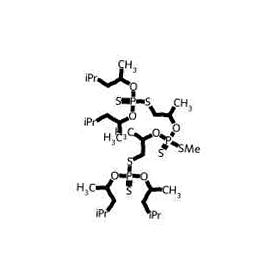 CSP(=S)(OC(C)CSP(=S)(OC(C)CC(C)C)OC(C)CC(C)C)OC(C)CSP(=S)(OC(C)CC(C)C)OC(C)CC(C)C